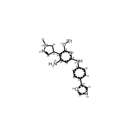 CCOc1nc(Nc2ccc(-c3cnco3)cc2)cc(N)c1C1C=NN(C)C1